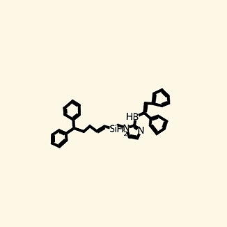 B(C(=Cc1ccccc1)c1ccccc1)c1nccn1C[SiH2]C=CCCC(c1ccccc1)c1ccccc1